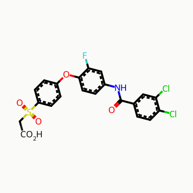 O=C(O)CS(=O)(=O)c1ccc(Oc2ccc(NC(=O)c3ccc(Cl)c(Cl)c3)cc2F)cc1